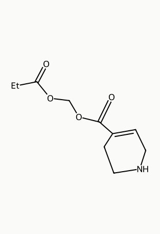 CCC(=O)OCOC(=O)C1=CCNCC1